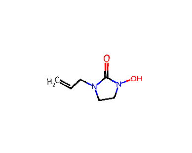 C=CCN1CCN(O)C1=O